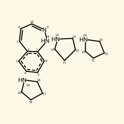 C1=Cc2ccccc2NN=C1.C1CCNC1.C1CCNC1.C1CCNC1